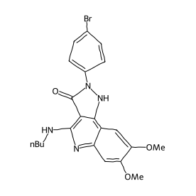 CCCCNc1nc2cc(OC)c(OC)cc2c2[nH]n(-c3ccc(Br)cc3)c(=O)c12